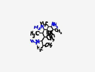 CC(C)C(N)C(C)C(C)C(N)C(C)C(C)C(N)C(C)C